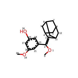 COC(=C1C2CC3CC(C2)CC1C3)c1cc(O)cc(OC)c1